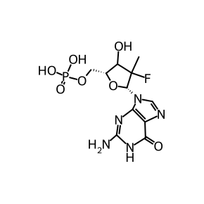 CC1(F)C(O)[C@@H](COP(=O)(O)O)O[C@H]1n1cnc2c(=O)[nH]c(N)nc21